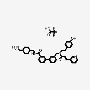 NCC1CCC(CNC(=O)c2cccc(-c3cccc(CN(CCc4ccc(O)cc4)C(=O)/C=C/c4cccnc4)c3)c2)CC1.O=C(O)C(F)(F)F